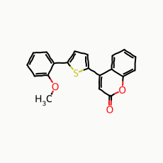 COc1ccccc1-c1ccc(-c2cc(=O)oc3ccccc23)s1